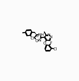 Cc1ccc(C[C@@H]2CON=C(c3c(Oc4cccc(Cl)c4F)cnnc3C)N2)c(Cl)c1